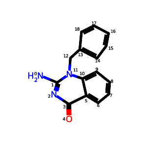 Nc1nc(=O)c2ccccc2n1Cc1ccccc1